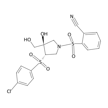 N#Cc1ccccc1S(=O)(=O)N1C[C@H](S(=O)(=O)c2ccc(Cl)cc2)[C@](O)(CO)C1